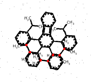 CC(C)c1cccc(C(C)C)c1-c1c(-c2c(C(C)C)cccc2C(C)C)c(-c2c(C(C)C)cccc2C(C)C)c2c(c1-c1c(C(C)C)cccc1C(C)C)=c1ccccc1=2